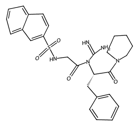 N=C(N)N(C(=O)CNS(=O)(=O)c1ccc2ccccc2c1)[C@@H](Cc1ccccc1)C(=O)N1CCCCC1